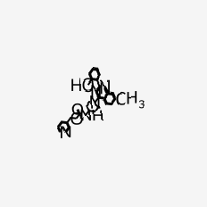 Cc1ccc2c(N3CCC(NC(=O)OCc4cccnc4)CC3)nc(-c3ccccc3O)nc2c1